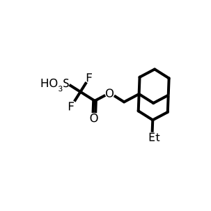 CCC1CC2CCCC(COC(=O)C(F)(F)S(=O)(=O)O)(C1)C2